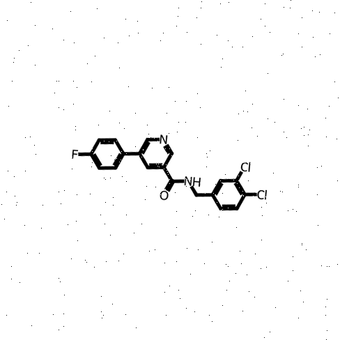 O=C(NCc1ccc(Cl)c(Cl)c1)c1cncc(-c2ccc(F)cc2)c1